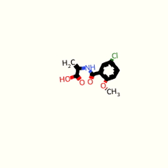 C=C(NC(=O)c1cc(Cl)ccc1OC)C(=O)O